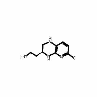 OCC[C@H]1CNc2ccc(Cl)nc2N1